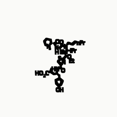 CCCC=CCN(C(=O)[C@@H](NC(=O)[C@H]1CCCCN1C)[C@@H](C)CC)[C@H](C[C@@H](OCC)c1nc(C(=O)N[C@@H](Cc2ccc(O)cc2)C[C@H](C)C(=O)O)cs1)C(C)C